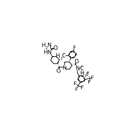 Cc1cc(F)ccc1[C@@H]1CN(C(=O)[C@H]2CC[C@H](NC(N)=O)CC2)CC[C@H]1C(=O)N(C)Cc1cc(C(F)(F)F)cc(C(F)(F)F)c1